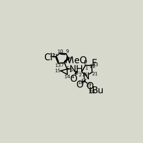 CO[C@H]1[C@@H](C(=O)NC2(c3cccc(Cl)c3)CC2)N(C(=O)OC(C)(C)C)C[C@@H]1F